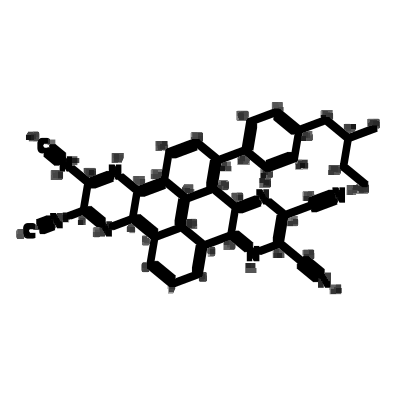 [C-]#[N+]c1nc2c3cccc4c5nc(C#N)c(C#N)nc5c5c(-c6ccc(CC(C)CC)cc6)ccc(c2nc1[N+]#[C-])c5c34